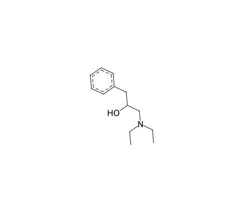 CCN(CC)CC(O)Cc1ccccc1